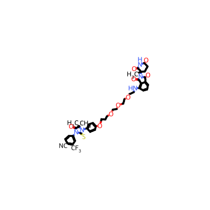 CC1(C)C(=O)N(c2ccc(C#N)c(C(F)(F)F)c2)C(=S)N1c1ccc(OCCCOCCOCCOCCNc2cccc3c2C(=O)N(C2(C)CCC(=O)NC2=O)C3=O)cc1